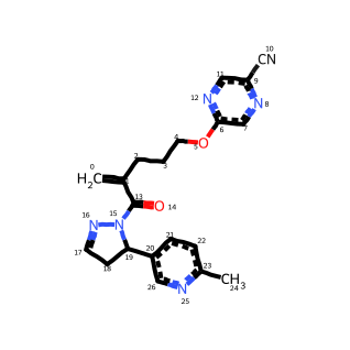 C=C(CCCOc1cnc(C#N)cn1)C(=O)N1N=CCC1c1ccc(C)nc1